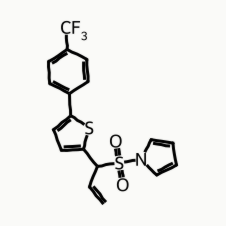 C=CC(c1ccc(-c2ccc(C(F)(F)F)cc2)s1)S(=O)(=O)n1cccc1